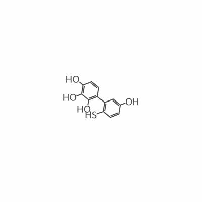 Oc1ccc(S)c(-c2ccc(O)c(O)c2O)c1